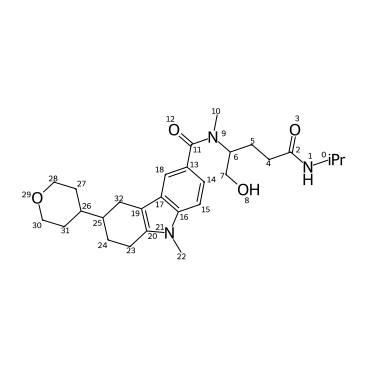 CC(C)NC(=O)CCC(CO)N(C)C(=O)c1ccc2c(c1)c1c(n2C)CCC(C2CCOCC2)C1